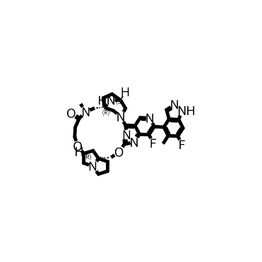 Cc1c(F)cc2[nH]ncc2c1-c1ncc2c3nc(nc2c1F)OC[C@]12CCCN1C[C@@H](C2)OCCC(=O)N(C)C[C@@]12CC[C@@H](CN3C1)N2